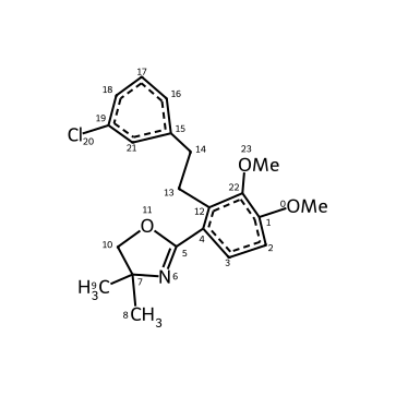 COc1ccc(C2=NC(C)(C)CO2)c(CCc2cccc(Cl)c2)c1OC